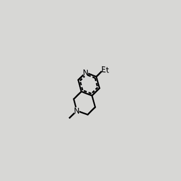 CCc1cc2c(cn1)CN(C)CC2